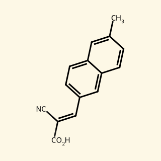 Cc1ccc2cc(/C=C(\C#N)C(=O)O)ccc2c1